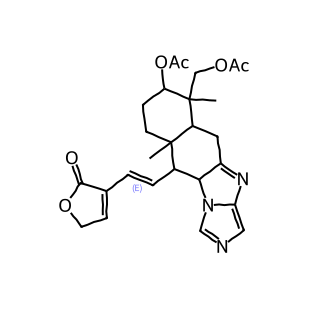 CC(=O)OCC1(C)C(OC(C)=O)CCC2(C)C(/C=C/C3=CCOC3=O)C3C(=Nc4cncn43)CC12